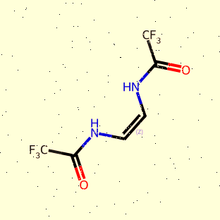 O=C(N/C=C\NC(=O)C(F)(F)F)C(F)(F)F